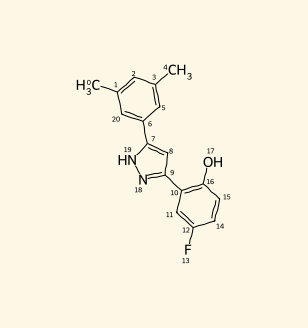 Cc1cc(C)cc(-c2cc(-c3cc(F)ccc3O)n[nH]2)c1